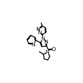 Cc1ccc(-n2nc(C(=O)N3CCCC3C)cc2-c2ccccn2)nn1